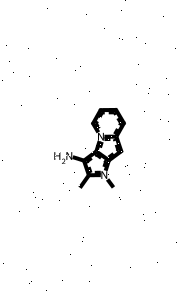 Cc1c(N)c2c(cc3ccccn32)n1C